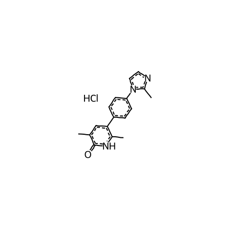 Cc1[nH]c(=O)c(C)cc1-c1ccc(-n2ccnc2C)cc1.Cl